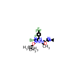 C[C@@H]1CN(c2nc(-c3ccc(C(F)(F)F)cc3F)c3nc(Br)n(COCC[Si](C)(C)C)c3n2)C[C@H](c2cnn(C3CC3)c2)O1